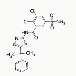 CC(C)(c1ccccc1)c1nnc(NC(=O)c2cc(S(N)(=O)=O)cc(Cl)c2Cl)s1